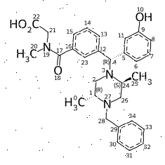 C[C@@H]1CN([C@@H](c2cccc(O)c2)c2cccc(C(=O)N(C)CC(=O)O)c2)[C@@H](C)CN1Cc1ccccc1